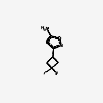 Nc1cc(C2CC(F)(F)C2)no1